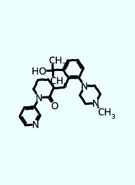 CN1CCN(c2cccc(C(C)(C)O)c2CC2CCCN(c3cccnc3)C2=O)CC1